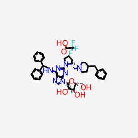 O=C(O)C(F)(F)F.OC[C@H]1O[C@@H](n2cnc3c(NCC(c4ccccc4)c4ccccc4)nc(N4CCC[C@@H]4CN4CCC(Cc5ccccc5)CC4)nc32)[C@H](O)[C@@H]1O